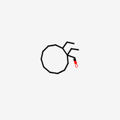 CCC1CCCCCCCCCC1(C=O)CC